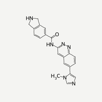 Cn1cncc1-c1ccc2nnc(NC(=O)c3ccc4c(c3)CNC4)cc2c1